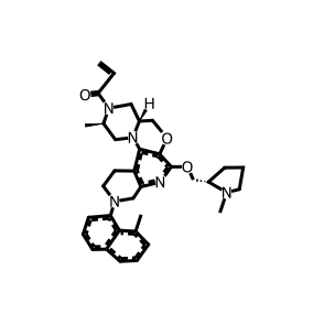 C=CC(=O)N1C[C@@H]2COc3c(OC[C@@H]4CCCN4C)nc4c(c3N2C[C@H]1C)CCN(c1cccc2cccc(C)c12)C4